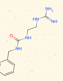 N=C(N)NCCNC(=O)NCc1ccccc1